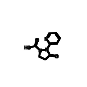 O=C(O)N1CCC(=O)N1c1ccccn1